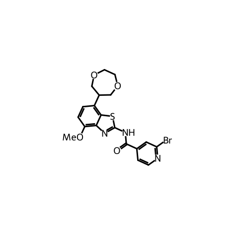 COc1ccc(C2COCCOC2)c2sc(NC(=O)c3ccnc(Br)c3)nc12